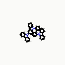 N#Cc1ccc(-n2c3ccccc3c3ccccc32)c(-c2ccccc2-n2c3ccccc3c3cc(-n4c5ccccc5c5ccccc54)ccc32)c1